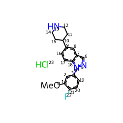 COc1cc(-n2ncc3cc(C4CCNCC4)ccc32)ccc1F.Cl